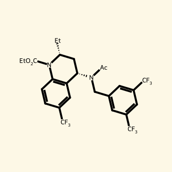 CCOC(=O)N1c2ccc(C(F)(F)F)cc2[C@@H](N(Cc2cc(C(F)(F)F)cc(C(F)(F)F)c2)C(C)=O)C[C@H]1CC